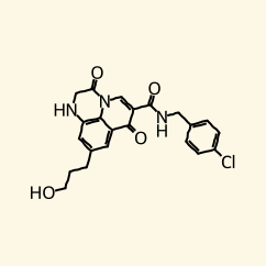 O=C(NCc1ccc(Cl)cc1)c1cn2c3c(cc(CCCO)cc3c1=O)NCC2=O